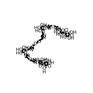 OC[C@H]1O[C@H](O[C@]2(CCl)O[C@H](Cn3cc(COCc4cn(C[C@H]5O[C@H](OCc6cn(CCOCCOCCn7cc(CO[C@H]8O[C@H](Cn9cc(COCc%10cn(C[C@H]%11O[C@@](CCl)(O[C@H]%12O[C@H](CO)[C@H](Cl)[C@H](O)[C@H]%12O)[C@@H](O)[C@@H]%11O)nn%10)nn9)[C@@H](O)[C@H](O)[C@@H]8O)nn7)nn6)[C@@H](O)[C@@H](O)[C@@H]5O)nn4)nn3)[C@@H](O)[C@@H]2O)[C@H](O)[C@@H](O)[C@H]1Cl